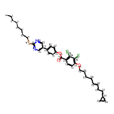 CCCCCCCCSc1ncc(-c2ccc(OC(=O)c3ccc(OCCCCCCCCC4CC4)c(F)c3F)cc2)cn1